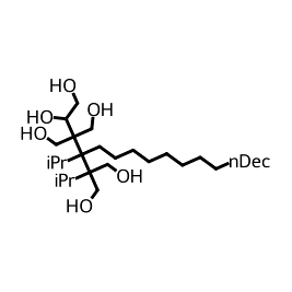 CCCCCCCCCCCCCCCCCCC(C(C)C)(C(CO)(CO)C(C)C)C(CO)(CO)C(O)CO